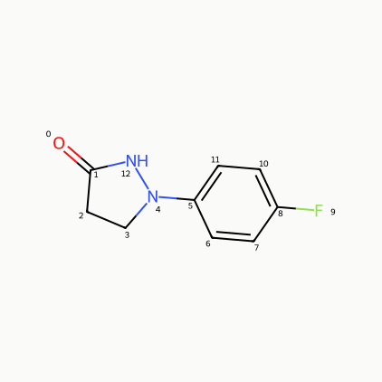 O=C1CCN(c2ccc(F)cc2)N1